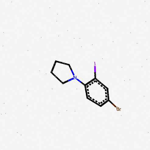 Brc1ccc(N2CCCC2)c(I)c1